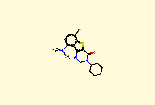 CN(C)c1ccc(Br)c2sc3c(c12)NCN(C1CCCCC1)C3=O